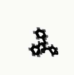 O=C(C1CCOC1)N(Cc1ccccc1)Cc1ccccc1